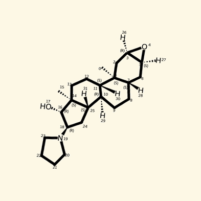 C[C@]12C[C@H]3O[C@H]3C[C@@H]1CC[C@@H]1[C@@H]2CC[C@]2(C)[C@@H](O)[C@H](N3CCCC3)C[C@@H]12